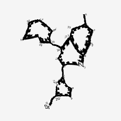 Cc1ccc2nc(-c3ccc(Br)s3)cc(-c3ccccc3)c2c1